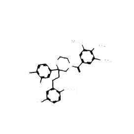 COc1cc(C(=O)N2CCOC(CCc3cc(Cl)ccc3S(=O)(=O)O)(c3ccc(Cl)c(Cl)c3)C2)cc(OC)c1OC